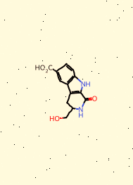 O=C(O)c1ccc2[nH]c3c(c2c1)CC(CO)NC3=O